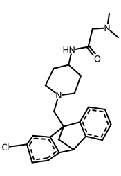 CN(C)CC(=O)NC1CCN(CC23CC(c4ccccc42)c2ccc(Cl)cc23)CC1